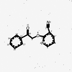 N#Cc1cccnc1OCC(=O)c1ccccc1